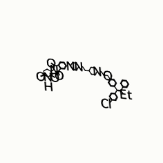 CC/C(=C(\c1ccc(Cl)cc1)c1ccc(OCCN2CCC(CCN3CCN(c4ccc5c(c4)C(=O)N(C4CCC(=O)NC4=O)C5=O)CC3)CC2)cc1)c1ccccc1